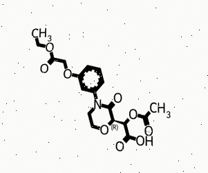 CCOC(=O)COc1cccc(N2CCO[C@H](C(OC(C)=O)C(=O)O)C2=O)c1